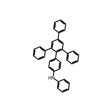 c1ccc(Nc2ccc(-c3c(-c4ccccc4)cc(-c4ccccc4)cc3-c3ccccc3)cc2)cc1